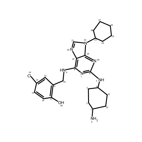 NC1CCC(Nc2nc(NCc3cc(Cl)ccc3O)c3ncn(C4CCCCC4)c3n2)CC1